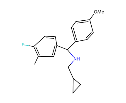 COc1ccc(C(NCC2CC2)c2ccc(F)c(C)c2)cc1